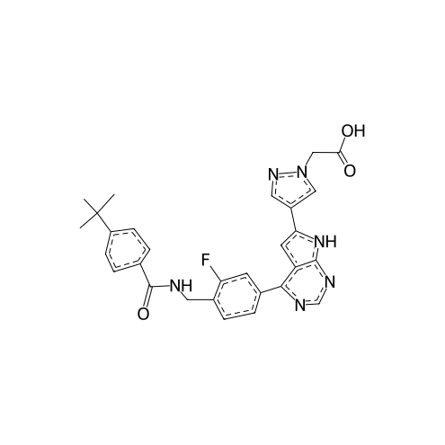 CC(C)(C)c1ccc(C(=O)NCc2ccc(-c3ncnc4[nH]c(-c5cnn(CC(=O)O)c5)cc34)cc2F)cc1